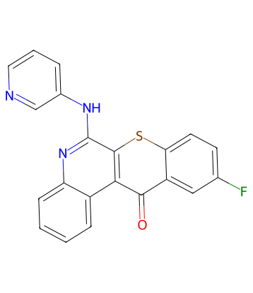 O=c1c2cc(F)ccc2sc2c(Nc3cccnc3)nc3ccccc3c12